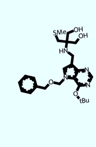 CSCC(CO)(CO)NCc1cn(COCc2ccccc2)c2c(OC(C)(C)C)ncnc12